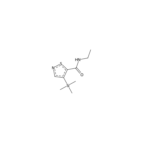 CCNC(=O)c1sncc1[Si](C)(C)C